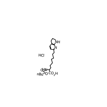 CCCCS(=O)(=O)NC(CCCCCCCc1ccc2c(n1)NCCC2)C(=O)O.Cl